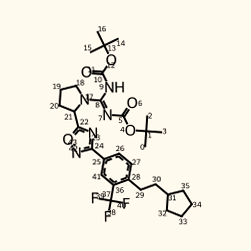 CC(C)(C)OC(=O)N=C(NC(=O)OC(C)(C)C)N1CCCC1c1nc(-c2ccc(CCC3CCCC3)c(C(F)(F)F)c2)no1